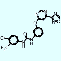 O=C(Nc1cccc(Oc2cc(-c3ncon3)ncn2)c1)Nc1ccc(Cl)c(C(F)(F)F)c1